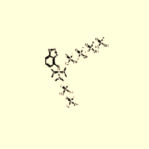 CN(C)[PH](Oc1cccc2[nH]nnc12)(N(C)C)N(C)C.O=P(O)(O)F.O=P(O)(O)F.O=P(O)(O)F.O=P(O)(O)F.O=P(O)(O)F.O=P(O)(O)F